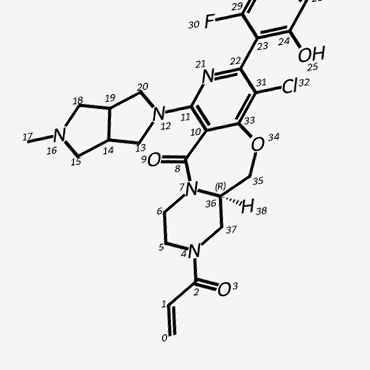 C=CC(=O)N1CCN2C(=O)c3c(N4CC5CN(C)CC5C4)nc(-c4c(O)cccc4F)c(Cl)c3OC[C@H]2C1